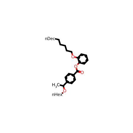 CCCCCCCCCCCCCCCOc1ccccc1OC(=O)c1ccc(C(C)OCCCCCC)cc1